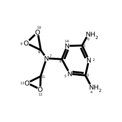 Nc1nc(N)nc(N(C2OO2)C2OO2)n1